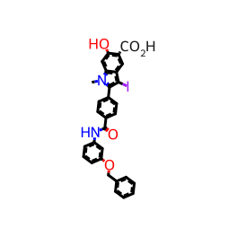 Cn1c(-c2ccc(C(=O)Nc3cccc(OCc4ccccc4)c3)cc2)c(I)c2cc(C(=O)O)c(O)cc21